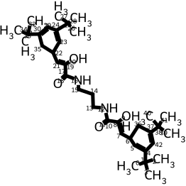 CC(C)(C)C1=CC(C=C(O)C(=O)NCCCNC(=O)C(O)=CC2C=C(C(C)(C)C)C=C(C(C)(C)C)C2)CC(C(C)(C)C)=C1